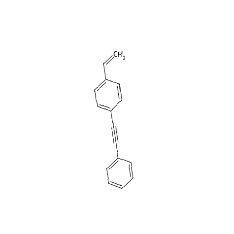 C=Cc1ccc(C#Cc2ccccc2)cc1